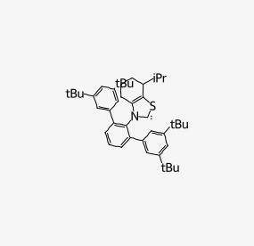 CC(C)C1CCCC2=C1S[C]N2c1c(-c2cc(C(C)(C)C)cc(C(C)(C)C)c2)cccc1-c1cc(C(C)(C)C)cc(C(C)(C)C)c1